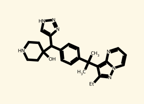 CCc1nn2cccnc2c1C(C)(C)c1ccc(C(c2c[nH]nn2)C2(O)CCNCC2)cc1